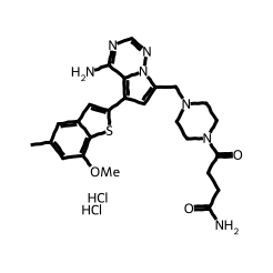 COc1cc(C)cc2cc(-c3cc(CN4CCN(C(=O)CCC(N)=O)CC4)n4ncnc(N)c34)sc12.Cl.Cl